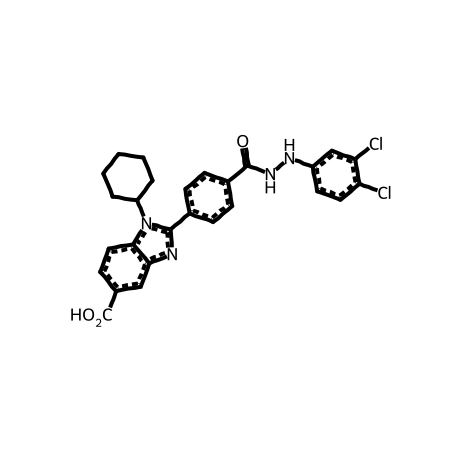 O=C(O)c1ccc2c(c1)nc(-c1ccc(C(=O)NNc3ccc(Cl)c(Cl)c3)cc1)n2C1CCCCC1